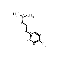 CN(C)CCCc1ccc(F)cc1